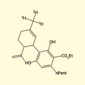 [2H]C([2H])([2H])C1=CC(c2c(O)cc(CCCCC)c(C(=O)OCC)c2O)C(C(=C)C)CC1